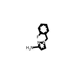 Nc1ccn(Cc2ccccc2F)n1